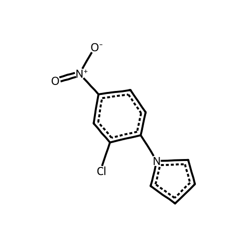 O=[N+]([O-])c1ccc(-n2cccc2)c(Cl)c1